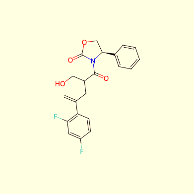 C=C(CC(CO)C(=O)N1C(=O)OC[C@H]1c1ccccc1)c1ccc(F)cc1F